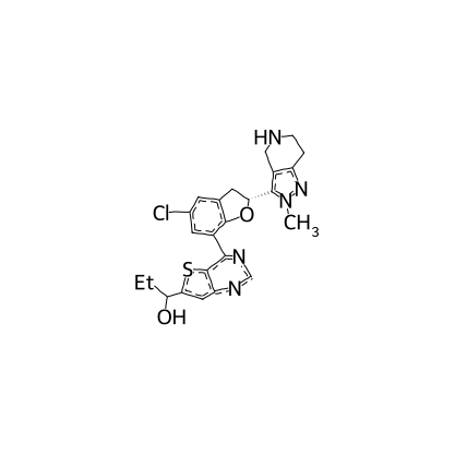 CCC(O)c1cc2ncnc(-c3cc(Cl)cc4c3O[C@@H](c3c5c(nn3C)CCNC5)C4)c2s1